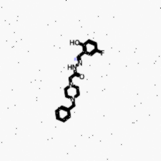 O=C(CN1CCN(Cc2ccccc2)CC1)N/N=C/c1cc(F)ccc1O